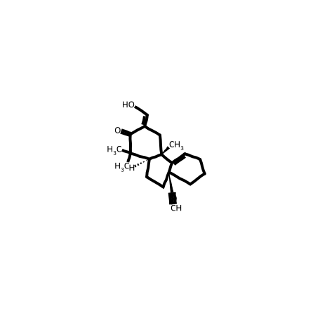 C#C[C@]12CCCC=C1[C@@]1(C)C/C(=C/O)C(=O)C(C)(C)[C@@H]1CC2